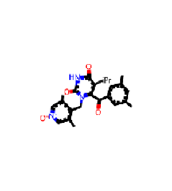 Cc1cc(C)cc(C(=O)c2c(C(C)C)c(=O)[nH]c(=O)n2Cc2c(C)c[n+]([O-])cc2C)c1